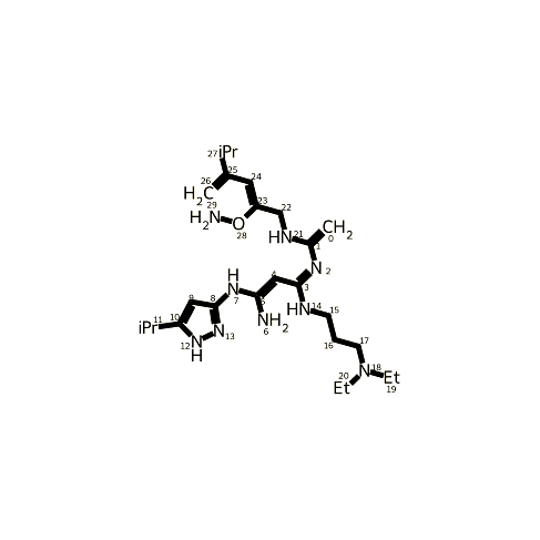 C=C(/N=C(\C=C(/N)Nc1cc(C(C)C)[nH]n1)NCCCN(CC)CC)NC/C(=C/C(=C)C(C)C)ON